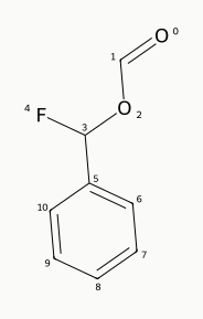 O=COC(F)c1ccccc1